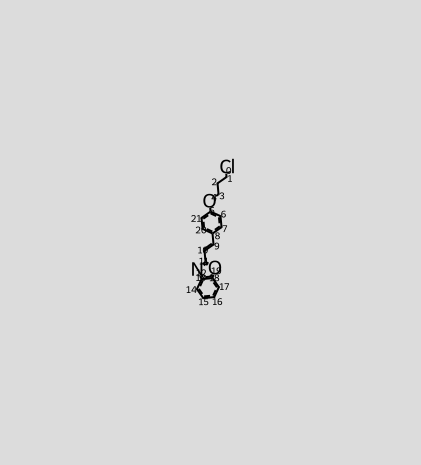 ClCCCOc1ccc(C=Cc2nc3ccccc3o2)cc1